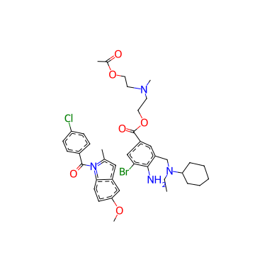 CCN(Cc1cc(C(=O)OCCN(C)CCOC(C)=O)cc(Br)c1N)C1CCCCC1.COc1ccc2c(c1)cc(C)n2C(=O)c1ccc(Cl)cc1